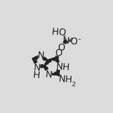 Nc1nc2[nH]cnc2c(=O)[nH]1.O=[N+]([O-])O